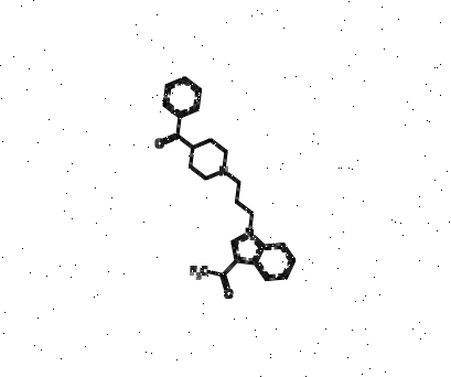 O=C(c1ccccc1)C1CCN(CCCn2cc(C(=O)C(F)(F)F)c3ccccc32)CC1